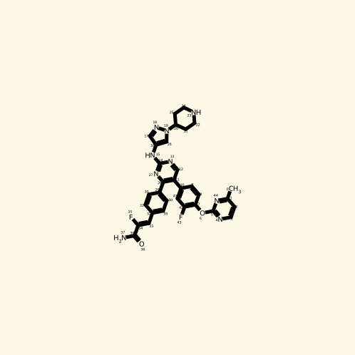 Cc1ccnc(Oc2ccc(-c3cnc(Nc4cnn(C5CCNCC5)c4)nc3-c3ccc(C=C(F)C(N)=O)cc3)cc2F)n1